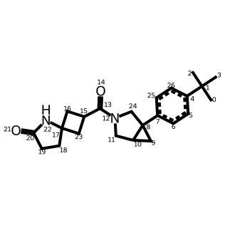 CC(C)(C)c1ccc(C23CC2CN(C(=O)C2CC4(CCC(=O)N4)C2)C3)cc1